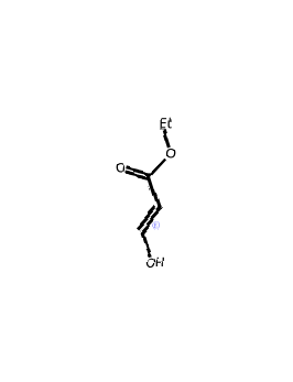 CCOC(=O)/C=C/O